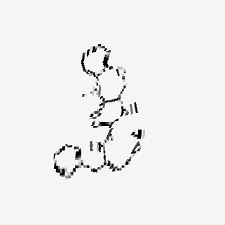 CN1C(=O)[C@@H](NC(=O)n2[nH]nccc(Cc3ccccc3)[nH]2)COc2ccccc21